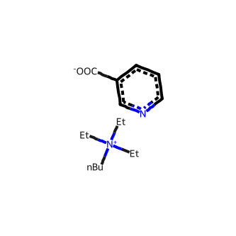 CCCC[N+](CC)(CC)CC.O=C([O-])c1cccnc1